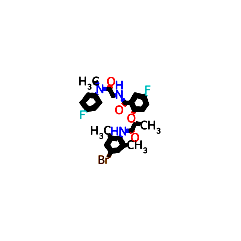 Cc1cc(Br)cc(C)c1NC(=O)C(C)Oc1ccc(F)cc1C(=O)NCC(=O)N(C)c1ccc(F)cc1